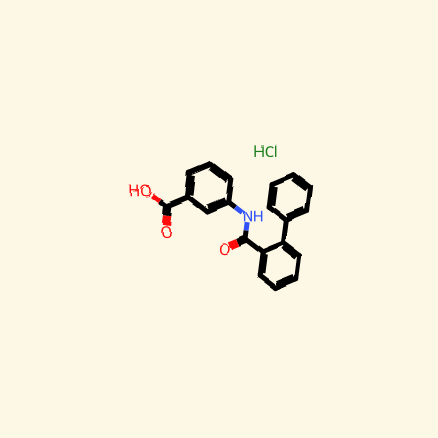 Cl.O=C(O)c1cccc(NC(=O)c2ccccc2-c2ccccc2)c1